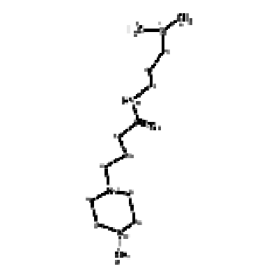 CN(C)CCCNC(=O)CCCN1CCN(C)CC1